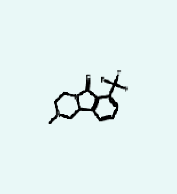 CN1CCN2C(=O)c3c(cccc3C(F)(F)F)C2C1